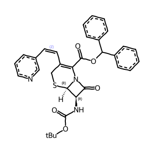 CC(C)(C)OC(=O)N[C@@H]1C(=O)N2C(C(=O)OC(c3ccccc3)c3ccccc3)=C(/C=C\c3cccnc3)CS[C@H]12